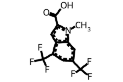 Cn1c(C(=O)O)cc2c(C(F)(F)F)cc(C(F)(F)F)cc21